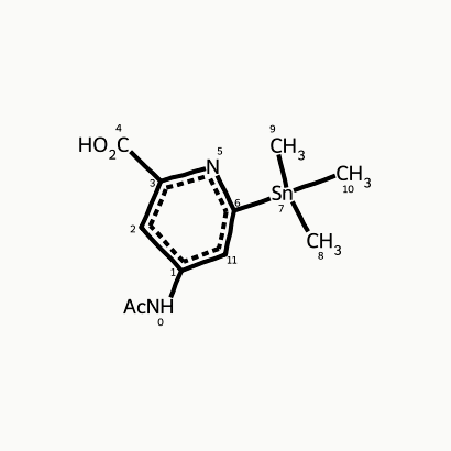 CC(=O)Nc1cc(C(=O)O)n[c]([Sn]([CH3])([CH3])[CH3])c1